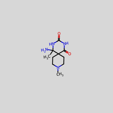 CN1CCC2(CC1)C(=O)NC(=O)NC2(C)N